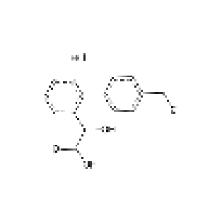 Cl.O=C(O)C(O)c1ccccc1-c1ccc(CCl)cc1